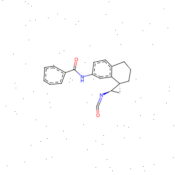 O=C=N[C@@H]1C[C@]12CCCc1ccc(NC(=O)c3ccccc3)cc12